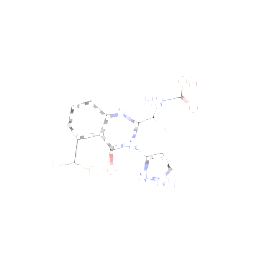 CC(NC(=O)O)c1nc2cccc(C(F)F)c2c(=O)n1-c1cc[nH]n1